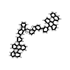 CC1(CC2CC=Cc3c2oc2ccc(-c4cccc(-c5c6ccccc6c(-c6cccc7ccccc67)c6ccccc56)c4)cc32)c2ccccc2-c2ccc(-c3ccc(-c4c5ccccc5c(-c5cccc6ccccc56)c5ccccc45)cc3)cc21